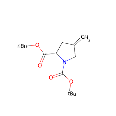 C=C1C[C@@H](C(=O)OCCCC)N(C(=O)OC(C)(C)C)C1